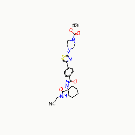 CC(C)(C)OC(=O)N1CCN(c2nc(-c3ccc(C(=O)NC4(C(=O)NCC#N)CCCCC4)cc3)cs2)CC1